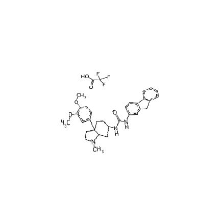 COc1ccc(C23CCC(NC(=O)Nc4ccc5c(c4)Cc4ccccc4-5)CC2N(C)CC3)cc1OC.O=C(O)C(F)(F)F